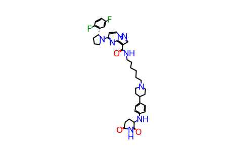 O=C1CCC(Nc2ccc(C3CCN(CCCCCCNC(=O)c4cnn5ccc(N6CCC[C@@H]6c6cc(F)ccc6F)nc45)CC3)cc2)C(=O)N1